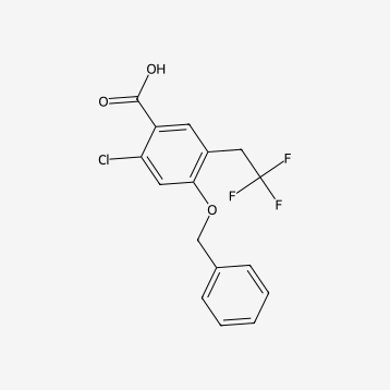 O=C(O)c1cc(CC(F)(F)F)c(OCc2ccccc2)cc1Cl